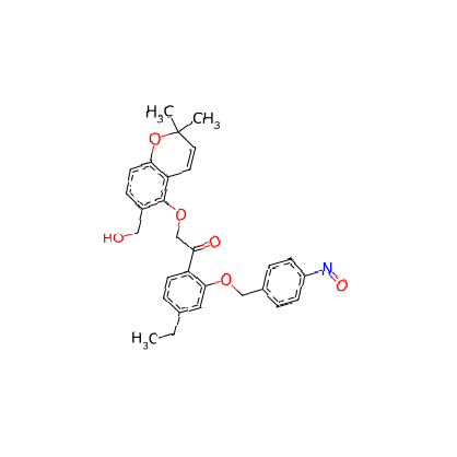 CCc1ccc(C(=O)COc2c(CO)ccc3c2C=CC(C)(C)O3)c(OCc2ccc(N=O)cc2)c1